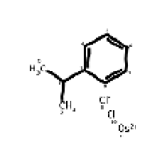 CC(C)c1ccccc1.[Cl-].[Cl-].[Os+2]